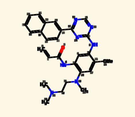 C=CC(=O)Nc1cc(Nc2ncnc(-c3ccc4ccccc4c3)n2)c(OC)cc1N(C)CCN(C)C